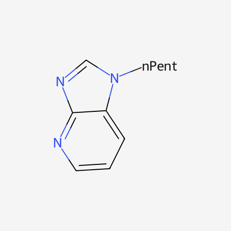 CCCCCn1cnc2ncccc21